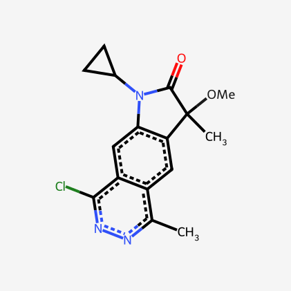 COC1(C)C(=O)N(C2CC2)c2cc3c(Cl)nnc(C)c3cc21